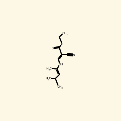 CCOC(=O)/C(C#N)=C/N/C(C)=C/C(C)C